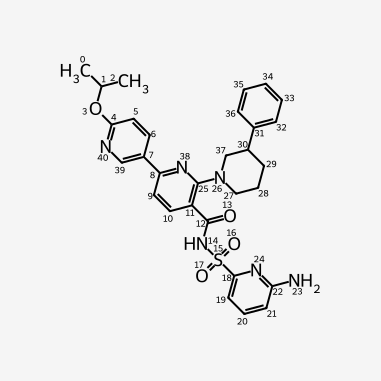 CC(C)Oc1ccc(-c2ccc(C(=O)NS(=O)(=O)c3cccc(N)n3)c(N3CCCC(c4ccccc4)C3)n2)cn1